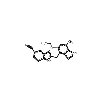 CCOc1cc(C)c2[nH]ccc2c1Cc1nc2cc(C#N)ccc2[nH]1